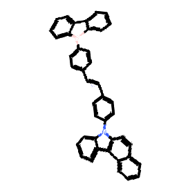 C(=C\c1ccc(-n2c3ccccc3c3c4ccccc4ccc32)cc1)/c1ccc(B2c3ccccc3-c3ccccc32)cc1